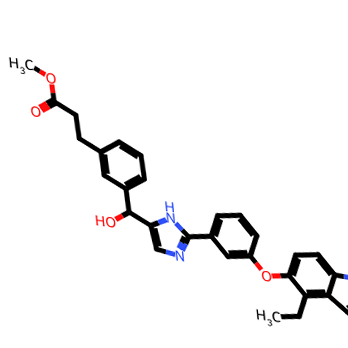 CCc1c(Oc2cccc(-c3ncc(C(O)c4cccc(CCC(=O)OC)c4)[nH]3)c2)ccc2[nH]ccc12